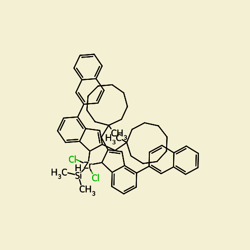 C[SiH](C)[Zr]([Cl])([Cl])([CH]1C(CC2(C)CCCCCCCC2)=Cc2c(-c3ccc4ccccc4c3)cccc21)[CH]1C(CC2(C)CCCCCCCC2)=Cc2c(-c3ccc4ccccc4c3)cccc21